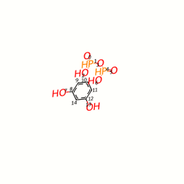 O=[PH](O)O[PH](=O)O.Oc1cccc(O)c1